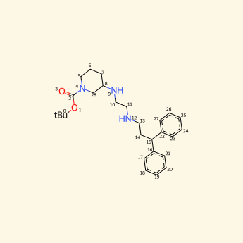 CC(C)(C)OC(=O)N1CCCC(NCCNCCC(c2ccccc2)c2ccccc2)C1